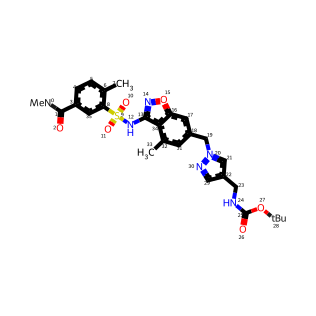 CNC(=O)c1ccc(C)c(S(=O)(=O)Nc2noc3cc(Cn4cc(CNC(=O)OC(C)(C)C)cn4)cc(C)c23)c1